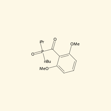 CCCCP(=O)(C(=O)c1c(OC)cccc1OC)C(C)C